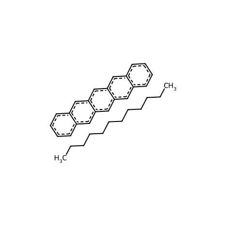 CCCCCCCCCCCC.c1ccc2cc3cc4cc5ccccc5cc4cc3cc2c1